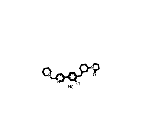 Cl.O=C1CCCN1C1CCCC(Cc2ccc(-c3ccc(CN4CCCCC4)nc3)cc2Cl)C1